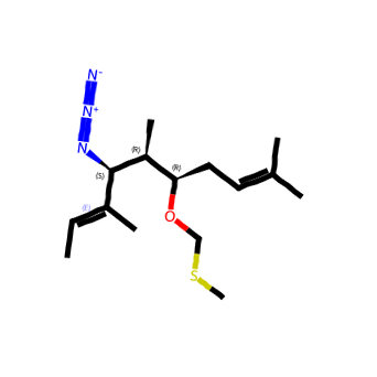 C/C=C(\C)[C@@H](N=[N+]=[N-])[C@@H](C)[C@@H](CC=C(C)C)OCSC